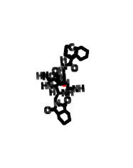 N=C1N[C@H]2[C@H](CN3C(=O)C4CCCCC4C3=O)NC(=N)N3CC(NC(=O)c4cccc5c4CCCC5)C(O)(O)[C@]23N1